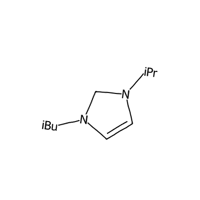 CCC(C)N1C=CN(C(C)C)C1